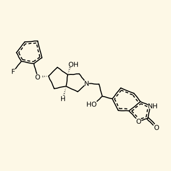 O=c1[nH]c2ccc(C(O)CN3C[C@H]4C[C@H](Oc5ccccc5F)C[C@@]4(O)C3)cc2o1